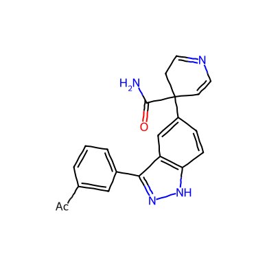 CC(=O)c1cccc(-c2n[nH]c3ccc(C4(C(N)=O)C=CN=CC4)cc23)c1